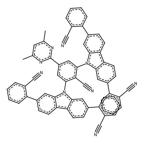 Cc1cc(C)nc(-c2cc(-n3c4cc(-c5ccccc5C#N)ccc4c4ccc(-c5ccccc5C#N)cc43)c(C#N)c(-n3c4cc(-c5ccccc5C#N)ccc4c4ccc(-c5ccccc5C#N)cc43)c2)n1